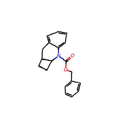 O=C(OCc1ccccc1)N1c2ccccc2CC2CCC21